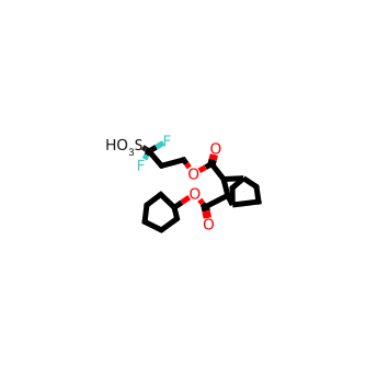 O=C(OCCC(F)(F)S(=O)(=O)O)C1C2CCC(C2)C1C(=O)OC1CCCCC1